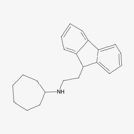 c1ccc2c(c1)-c1ccccc1C2CCNC1CCCCCC1